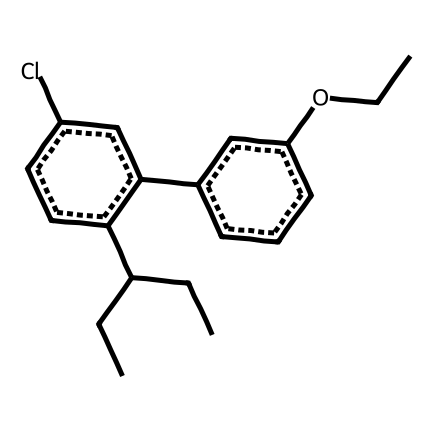 CCOc1cccc(-c2cc(Cl)ccc2C(CC)CC)c1